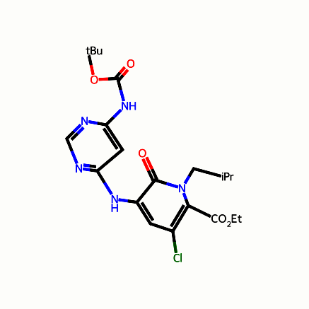 CCOC(=O)c1c(Cl)cc(Nc2cc(NC(=O)OC(C)(C)C)ncn2)c(=O)n1CC(C)C